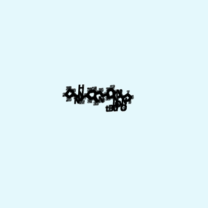 CC(C)(C)OC(=O)N1CCCC1c1nc2ccc(-c3cc4ccc(-c5cnc(C6CCCC6)[nH]5)cc4cn3)cc2[nH]1